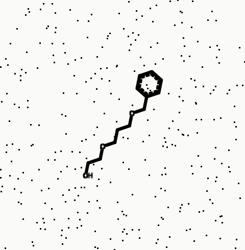 OCCOCCCOCc1ccccc1